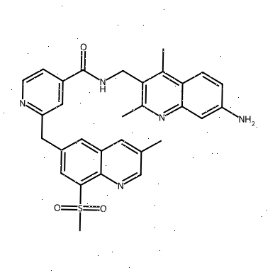 Cc1cnc2c(S(C)(=O)=O)cc(Cc3cc(C(=O)NCc4c(C)nc5cc(N)ccc5c4C)ccn3)cc2c1